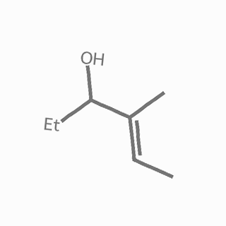 CC=C(C)C(O)CC